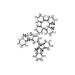 C1=CC2N=C3Sc4c(-c5ccc6c(c5)-c5cccnc5-c5ncccc5-c5ccccc5-6)cc(-n5c6ccccc6n6c7ccccc7nc56)cc4N3C2C=C1